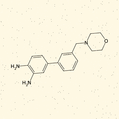 Nc1ccc(-c2cccc(CN3CCOCC3)c2)cc1N